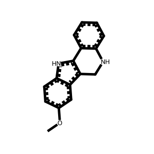 COc1ccc2[nH]c3c(c2c1)CNc1ccccc1-3